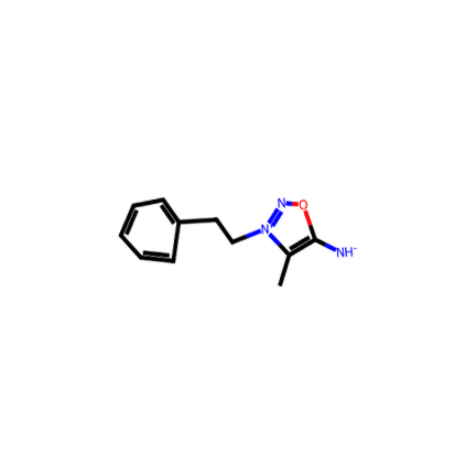 Cc1c([NH-])on[n+]1CCc1ccccc1